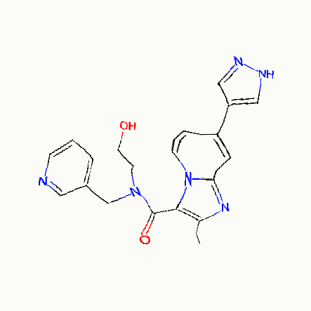 Cc1nc2cc(-c3cn[nH]c3)ccn2c1C(=O)N(CCO)Cc1cccnc1